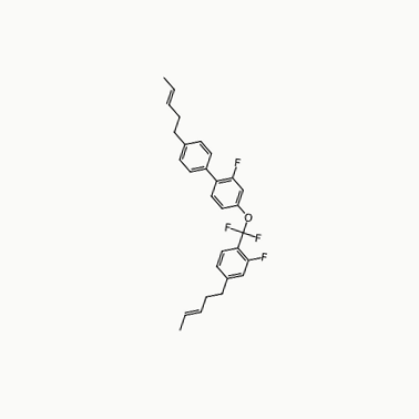 C/C=C/CCc1ccc(-c2ccc(OC(F)(F)c3ccc(CC/C=C/C)cc3F)cc2F)cc1